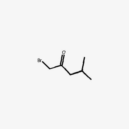 CC(C)CC(=O)CBr